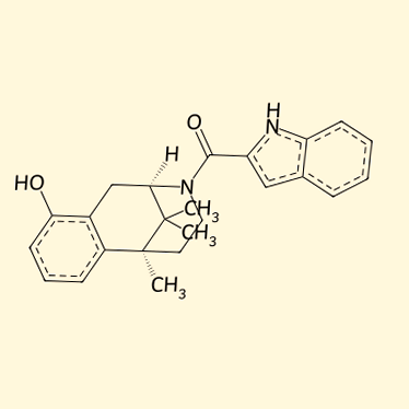 CC1(C)[C@H]2Cc3c(O)cccc3[C@]1(C)CCN2C(=O)c1cc2ccccc2[nH]1